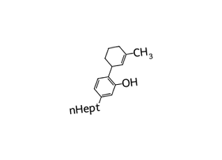 CCCCCCCc1ccc(C2C=C(C)CCC2)c(O)c1